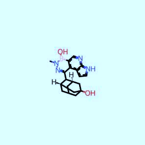 CN1N=C(C2[C@@H]3CC4C[C@H]2CC(O)(C4)C3)c2c(cnc3[nH]ccc23)B1O